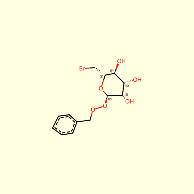 O[C@@H]1[C@H](O)[C@@H](OOCc2ccccc2)O[C@H](CBr)[C@H]1O